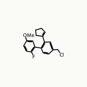 COc1ccc(F)c(-c2ccc(CCl)cc2C2=CCCC2)c1